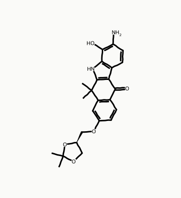 CC1(C)OC[C@H](COc2ccc3c(c2)C(C)(C)c2[nH]c4c(O)c(N)ccc4c2C3=O)O1